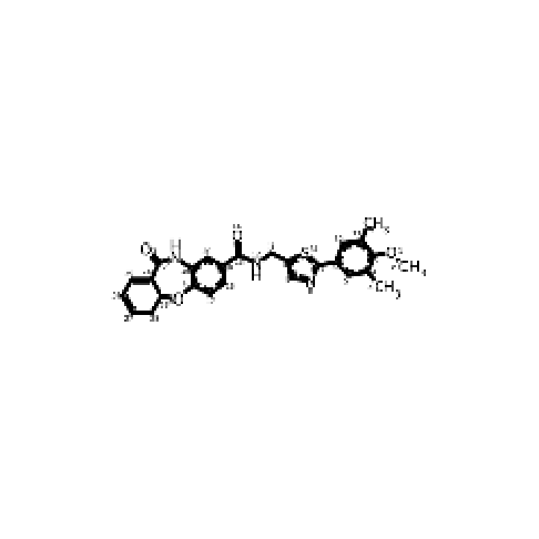 COc1c(C)cc(-c2ncc(CNC(=O)c3ccc4c(c3)NC(=O)C3=CC=CCC3O4)s2)cc1C